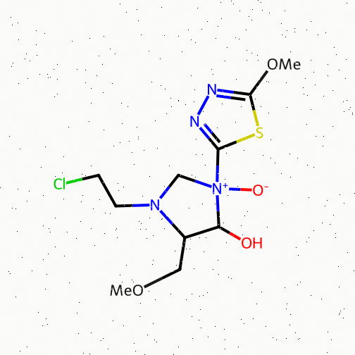 COCC1C(O)[N+]([O-])(c2nnc(OC)s2)CN1CCCl